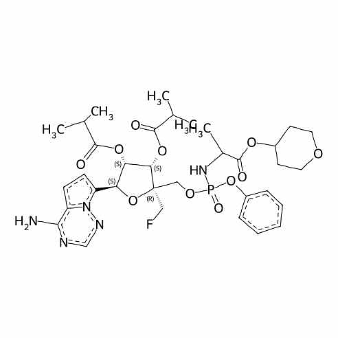 CC(C)C(=O)O[C@H]1[C@H](c2ccc3c(N)ncnn23)O[C@](CF)(COP(=O)(NC(C)C(=O)OC2CCOCC2)Oc2ccccc2)[C@H]1OC(=O)C(C)C